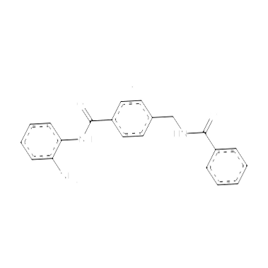 Cl.Nc1ccccc1NC(=O)c1ccc(CNC(=O)c2ccccc2)cc1